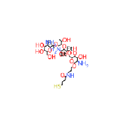 CCC(C)(OCC(OC(C(N)O)C(CC)(CC)OCC1OC(OCCCNC(=O)CCCS)C(N)C(O)C1O)C(C)O)C1OC(CO)C(O)C(O)C1N